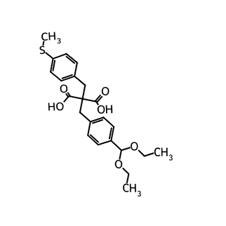 CCOC(OCC)c1ccc(CC(Cc2ccc(SC)cc2)(C(=O)O)C(=O)O)cc1